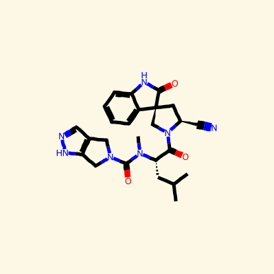 CC(C)C[C@@H](C(=O)N1C[C@]2(C[C@H]1C#N)C(=O)Nc1ccccc12)N(C)C(=O)N1Cc2cn[nH]c2C1